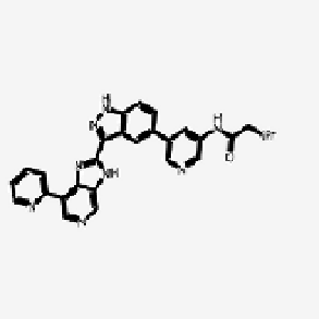 CC(C)CC(=O)Nc1cncc(-c2ccc3[nH]nc(-c4nc5c(-c6ccccn6)cncc5[nH]4)c3c2)c1